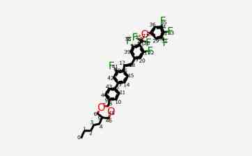 CCCCCC1COC(c2ccc(-c3ccc(/C=C/c4cc(F)c(C(F)(F)Oc5cc(F)c(F)c(F)c5)c(F)c4)c(F)c3)cc2)OC1